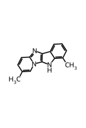 Cc1ccc2nc3c4cccc(C)c4[nH]c3n2c1